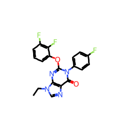 CCn1cnc2c(=O)n(-c3ccc(F)cc3)c(Oc3cccc(F)c3F)nc21